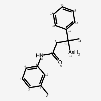 Cc1cccc(NC(=O)CC(C)([AsH2])c2ccccc2)c1